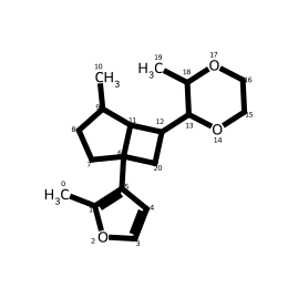 Cc1occc1C12CCC(C)C1C(C1OCCOC1C)C2